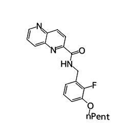 CCCCCOc1cccc(CNC(=O)c2ccc3ncccc3n2)c1F